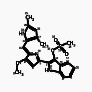 COC1=CC(c2[nH]c3ccccc3c2OS(C)(=O)=O)=N/C1=C\c1[nH]c(C)cc1C